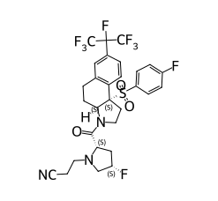 N#CCCN1C[C@@H](F)C[C@H]1C(=O)N1CC[C@]2(S(=O)(=O)c3ccc(F)cc3)c3ccc(C(F)(C(F)(F)F)C(F)(F)F)cc3CC[C@H]12